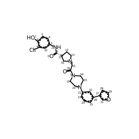 O=C(Nc1ccc(O)c(Cl)c1)[C@@H]1CCN(CC(=O)N2CCN(c3cccc(-c4ccoc4)c3)CC2)C1